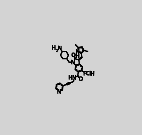 Cc1cc(C)c(/C=C2\C(=O)N(CC3CCC(N)CC3)c3cc(C(=O)NCC#Cc4cccnc4)c(F)cc32)[nH]1.Cl